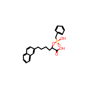 O=C(O)C(CCCCc1ccc2ccccc2c1)OP(=O)(O)Cc1ccccc1